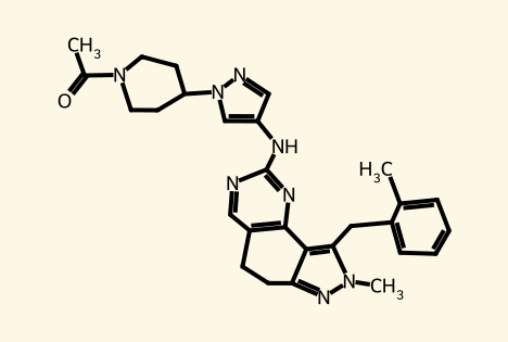 CC(=O)N1CCC(n2cc(Nc3ncc4c(n3)-c3c(nn(C)c3Cc3ccccc3C)CC4)cn2)CC1